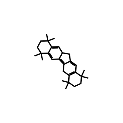 CC1(C)CCC(C)(C)C2=CC3[CH]C4=CC5=C(CC4=C3C=C21)C(C)(C)CCC5(C)C